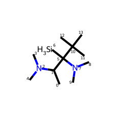 CC(N(C)C)C([SiH3])(N(C)C)C(C)(C)C